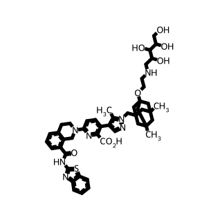 Cc1c(-c2ccc(N3CCc4cccc(C(=O)Nc5nc6ccccc6s5)c4C3)nc2C(=O)O)cnn1CC12CC3(C)CC(C)(C1)CC(OCCNCC(O)C(O)C(O)CO)(C3)C2